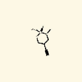 C#CC1COP(=S)(SC)N(C)C1